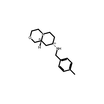 Cc1ccc(CN[C@H]2CCN3CCOC[C@H]3C2)cc1